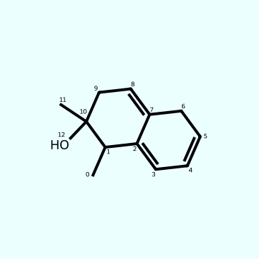 CC1C2=CC=CCC2=CCC1(C)O